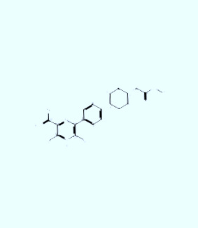 COC(=O)C[C@H]1CC[C@H](c2ccc(-c3nc(C(N)=O)c(C)nc3C)cc2)CC1